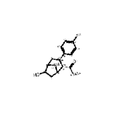 COC(=O)[C@@H]1C2CC(O)C(C[C@H]1c1ccc(F)cc1)N2